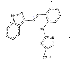 O=C(O)c1cnc(Nc2ccccc2/C=C/c2n[nH]c3ccccc23)s1